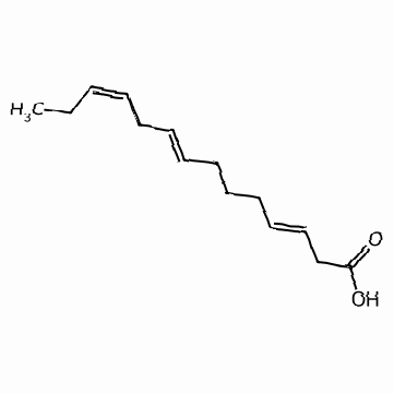 CC/C=C\CC=CCCCC=CCC(=O)O